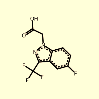 O=C(O)Cn1nc(C(F)(F)F)c2cc(F)ccc21